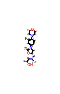 CC(=O)N(C[C@H]1CN(c2ccc(N3CCOCC3)c(F)c2)C(=O)O1)C[C@H](C)O